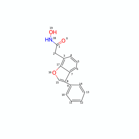 O=C(Cc1cccc2c(-c3ccccc3)coc12)NO